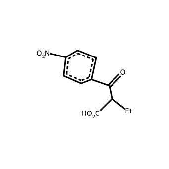 CCC(C(=O)O)C(=O)c1ccc([N+](=O)[O-])cc1